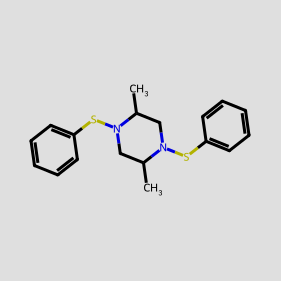 CC1CN(Sc2ccccc2)C(C)CN1Sc1ccccc1